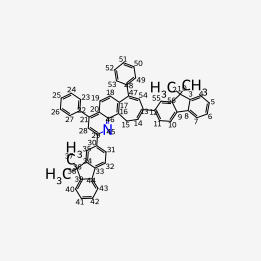 CC1(C)c2ccccc2-c2ccc(C3=CCc4c(ccc5c(-c6ccccc6)cc(-c6ccc7c(c6)C(C)(C)c6ccccc6-7)nc45)C(c4ccccc4)=C3)cc21